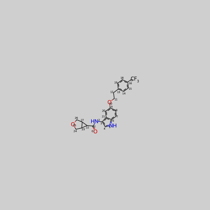 O=C(Nc1c[nH]c2ccc(OCCc3ccc(C(F)(F)F)cc3)cc12)C1C2COCC21